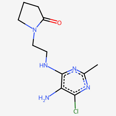 Cc1nc(Cl)c(N)c(NCCN2CCCC2=O)n1